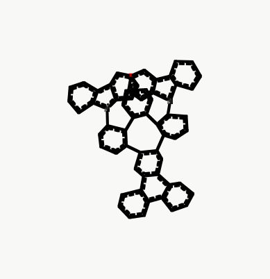 c1ccc2c(c1)-c1c(cccc1-n1c3ccccc3c3ccccc31)-c1cc3c4ccccc4c4ccccc4c3cc1-c1cccc(-n3c4ccccc4c4ccccc43)c1-2